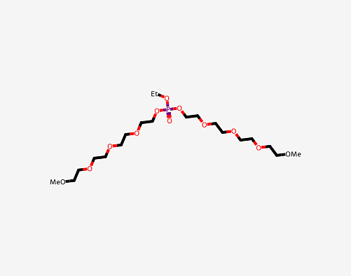 CCOP(=O)(OCCOCCOCCOCCOC)OCCOCCOCCOCCOC